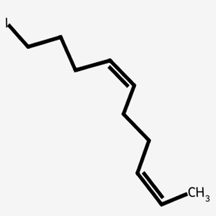 C/C=C\CC/C=C\CCCI